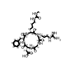 CNC(=O)NCCCC[C@H]1NC(=O)[C@H](Cc2ccccc2)NC(=O)[C@@H](CC(=O)O)NC(=O)CNC(=O)[C@@H](CCCNC(=N)N)NC1=O